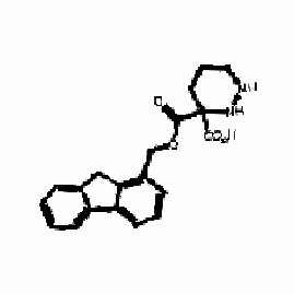 O=C(O)C1(C(=O)OCc2cccc3c2Cc2ccccc2-3)CCCNN1